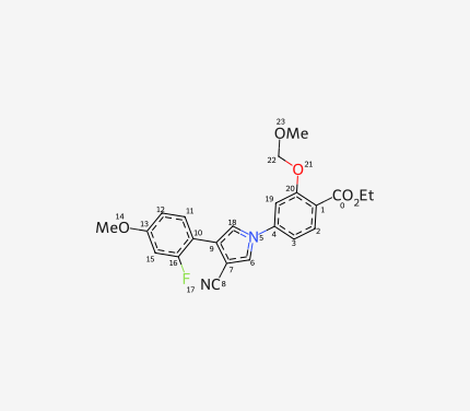 CCOC(=O)c1ccc(-n2cc(C#N)c(-c3ccc(OC)cc3F)c2)cc1OCOC